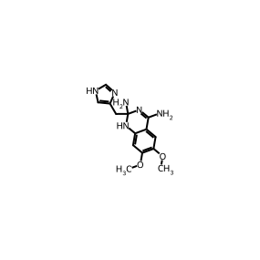 COc1cc2c(cc1OC)C(N)=NC(N)(Cc1c[nH]cn1)N2